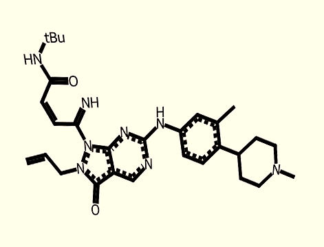 C=CCn1c(=O)c2cnc(Nc3ccc(C4CCN(C)CC4)c(C)c3)nc2n1C(=N)/C=C\C(=O)NC(C)(C)C